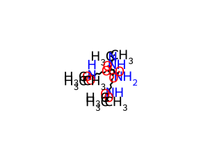 CN(C)CCNC(=O)c1cc(C(N)=O)c(OCCCCCNC(=O)OC(C)(C)C)cc1OCCCCCNC(=O)OC(C)(C)C